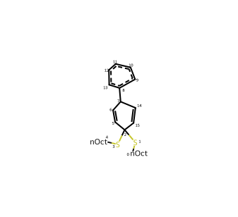 CCCCCCCCSC1(SCCCCCCCC)C=CC(c2ccccc2)C=C1